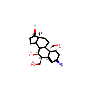 C[C@]12CCC3C(C1CCC2=O)[C@H](O)[C@H](CO)C1=CC(=N)CC[C@@]13CO